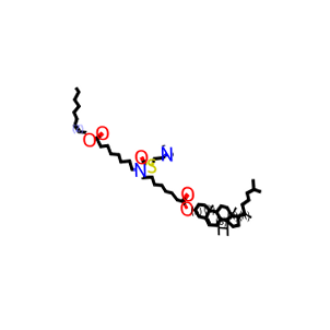 CCCCCC/C=C\COC(=O)CCCCCCCN(CCCCCCCC(=O)O[C@H]1CC[C@@]2(C)C(=CC[C@H]3C4CCC([C@H](C)CCCC(C)C)[C@@]4(C)CCC32)C1)C(=O)SCCN(C)C